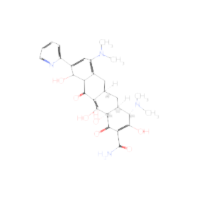 CN(C)C1=C2C[C@H]3C[C@H]4[C@H](N(C)C)C(O)=C(C(N)=O)C(=O)[C@@]4(O)C(O)=C3C(=O)C2C(O)C(c2ccccn2)=C1